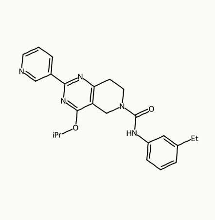 CCc1cccc(NC(=O)N2CCc3nc(-c4cccnc4)nc(OC(C)C)c3C2)c1